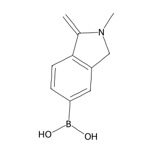 C=C1c2ccc(B(O)O)cc2CN1C